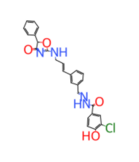 O=C(N/N=C/c1cccc(/C=C/CNC2=NC(=O)C(c3ccccc3)O2)c1)c1ccc(O)c(Cl)c1